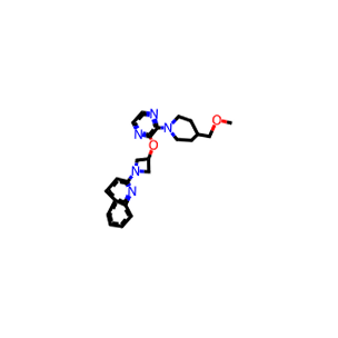 COCC1CCN(c2nccnc2OC2CN(c3ccc4ccccc4n3)C2)CC1